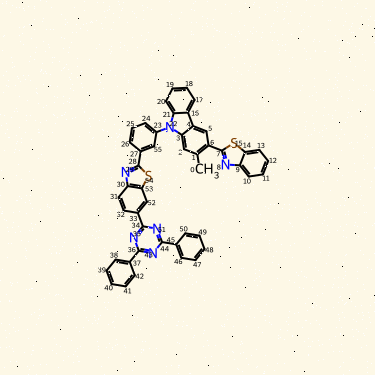 Cc1cc2c(cc1-c1nc3ccccc3s1)c1ccccc1n2-c1cccc(-c2nc3ccc(-c4nc(-c5ccccc5)nc(-c5ccccc5)n4)cc3s2)c1